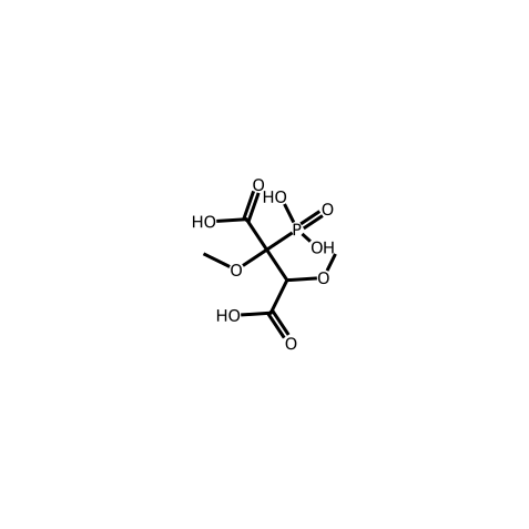 COC(C(=O)O)C(OC)(C(=O)O)P(=O)(O)O